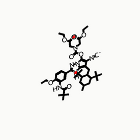 [C-]#[N+]c1c(CC2C(C(C)(C)C)CC(C)CC2C(C)(C)C)c2[nH]c(-c3ccc(OCC)c(NC(=O)C(C)(C)C)c3)nn2c1OC(=O)N(CC(=O)OCC)CC(=O)OCC